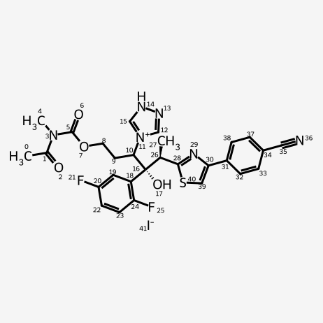 CC(=O)N(C)C(=O)OCCC([n+]1cn[nH]c1)[C@](O)(c1cc(F)ccc1F)[C@@H](C)c1nc(-c2ccc(C#N)cc2)cs1.[I-]